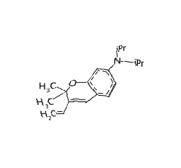 C=CC1=Cc2ccc(N(C(C)C)C(C)C)cc2OC1(C)C